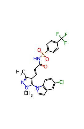 Cc1nn(C)c(-n2ccc3cc(Cl)ccc32)c1C=CC(=O)NS(=O)(=O)c1ccc(C(F)(F)F)cc1